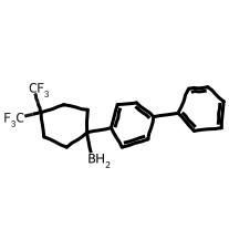 BC1(c2ccc(-c3ccccc3)cc2)CCC(C(F)(F)F)(C(F)(F)F)CC1